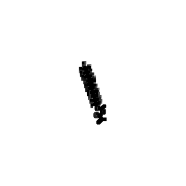 C=C(C)C(=O)OC(C)OC(F)(F)C(F)(F)C(F)(F)C(F)(F)C(F)(F)C(F)(F)C(F)(F)C(F)(F)C(F)(F)C(F)(F)F